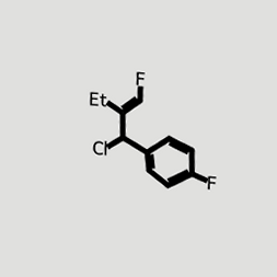 CCC(=CF)C(Cl)c1ccc(F)cc1